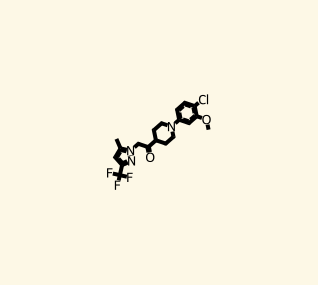 COc1cc(N2CCC(C(=O)Cn3nc(C(F)(F)F)cc3C)CC2)ccc1Cl